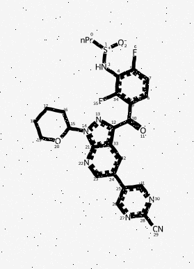 CCC[S+]([O-])Nc1c(F)ccc(C(=O)c2nn(C3CCCCO3)c3ncc(-c4cnc(C#N)nc4)cc23)c1F